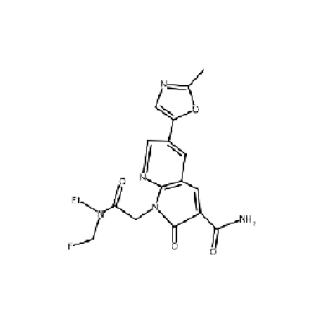 CCN(CF)C(=O)Cn1c(=O)c(C(N)=O)cc2cc(-c3cnc(C)o3)cnc21